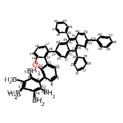 Bc1c(B)c(B)c(-c2cccc3c2oc2cccc(-c4ccc5c(-c6ccccc6)c6cc(-c7ccccc7)ccc6c(-c6ccccc6)c5c4)c23)c(B)c1B